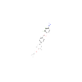 CCCCOC1CCC(c2ccc(COc3ccc(C#N)c(F)c3F)cc2)CC1